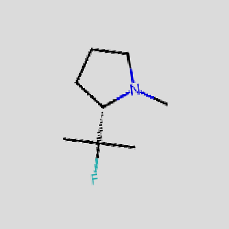 CN1CCC[C@H]1C(C)(C)F